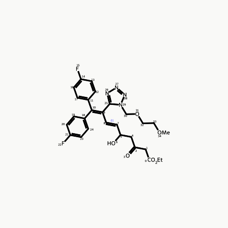 CCOC(=O)CC(=O)CC(O)/C=C/C(=C(c1ccc(F)cc1)c1ccc(F)cc1)c1nnnn1COCCOC